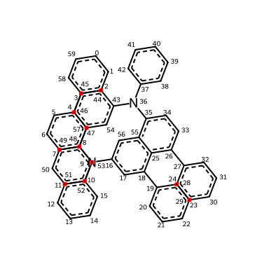 c1ccc(-c2cccc(N(c3ccccc3)c3cc(-c4ccccc4)c4c(-c5ccccc5)ccc(N(c5ccccc5)c5cccc(-c6ccccc6)c5)c4c3)c2)cc1